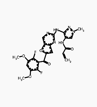 C=CC(=O)Nc1cn(C)nc1Nc1ncc2oc(C(=O)c3c(F)c(OC)cc(OC)c3F)cc2n1